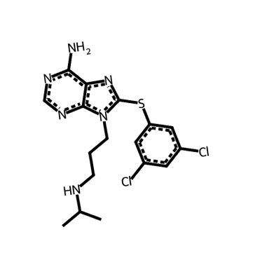 CC(C)NCCCn1c(Sc2cc(Cl)cc(Cl)c2)nc2c(N)ncnc21